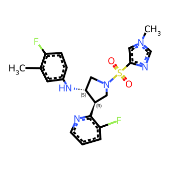 Cc1cc(N[C@@H]2CN(S(=O)(=O)c3cn(C)cn3)C[C@H]2c2ncccc2F)ccc1F